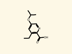 CCc1cc(OC(C)C)cnc1C(=O)O